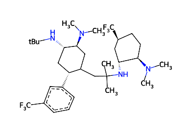 CN(C)[C@@H]1CC[C@H](C(F)(F)F)C[C@H]1NC(C)(C)CC1C[C@H](N(C)C)[C@@H](NC(C)(C)C)C[C@H]1c1cccc(C(F)(F)F)c1